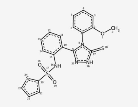 COc1ccccc1-n1c(-c2ccccc2NS(=O)(=O)c2cccs2)n[nH]c1=S